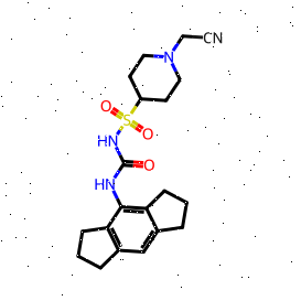 N#CCN1CCC(S(=O)(=O)NC(=O)Nc2c3c(cc4c2CCC4)CCC3)CC1